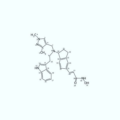 Cc1nn(C)cc1CN(CCc1c[nH]c2ccccc12)C1CCc2cc(/C=C/C(=O)NO)ccc21